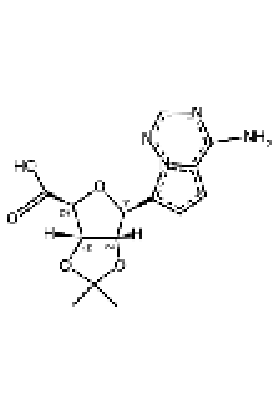 CC1(C)O[C@@H]2[C@H](O1)[C@@H](C(=O)O)O[C@H]2c1ccc2c(N)ncnn12